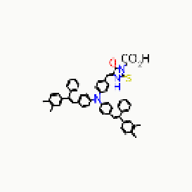 Cc1ccc(/C(=C/c2ccc(N(c3ccc(/C=C4\NC(=S)N(CC(=O)O)C4=O)cc3)c3ccc(/C=C(\c4ccccc4)c4ccc(C)c(C)c4)cc3)cc2)c2ccccc2)cc1C